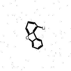 [Li][c]1cccc2oc3ccccc3c12